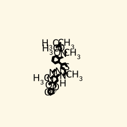 C[C@@H](Nc1ncnc2c1cc(O[C@H]1CCOC1)c(=O)n2C)c1cc(-c2ccccc2CN(C)C(=O)OC(C)(C)C)cs1